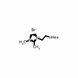 CCCCCCCC[n+]1ccn(C)c1C.[Br-]